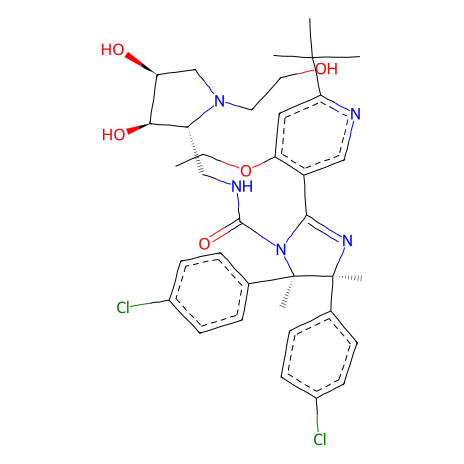 CCOc1cc(C(C)(C)C)ncc1C1=N[C@@](C)(c2ccc(Cl)cc2)[C@@](C)(c2ccc(Cl)cc2)N1C(=O)NC[C@@H]1[C@@H](O)[C@@H](O)CN1CCO